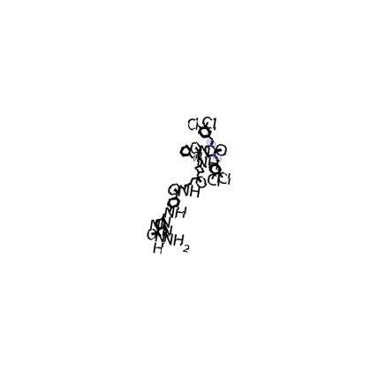 Nc1nc2nc(CNc3ccc(C(=O)NCCCC(=O)C4CC(N[C@H](Cc5ccccc5)C(=O)N5C/C(=C\c6ccc(Cl)c(Cl)c6)C(=O)/C(=C/c6ccc(Cl)c(Cl)c6)C5)C4)cc3)cnc2c(=O)[nH]1